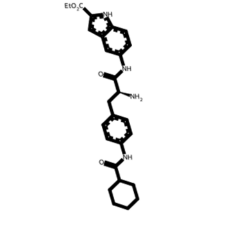 CCOC(=O)c1cc2cc(NC(=O)[C@@H](N)Cc3ccc(NC(=O)C4CCCCC4)cc3)ccc2[nH]1